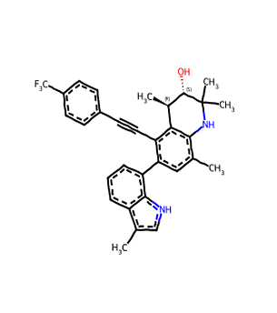 Cc1cc(-c2cccc3c(C)c[nH]c23)c(C#Cc2ccc(C(F)(F)F)cc2)c2c1NC(C)(C)[C@@H](O)[C@@H]2C